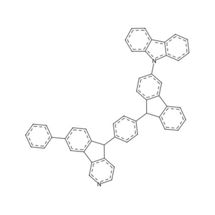 c1ccc(-c2ccc3c(c2)-c2cnccc2C3c2ccc(C3c4ccccc4-c4cc(-n5c6ccccc6c6ccccc65)ccc43)cc2)cc1